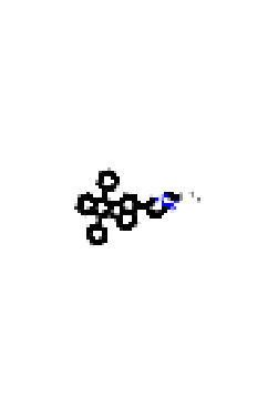 Cc1cn2cc(-c3ccc4c5c(cccc35)-c3c-4c(-c4ccccc4)c4ccccc4c3-c3ccccc3)ccc2n1